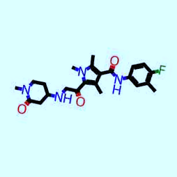 Cc1cc(NC(=O)c2c(C)c(C(=O)CNC3CCN(C)C(=O)C3)n(C)c2C)ccc1F